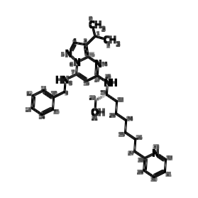 CC(C)c1cnn2c(NCc3ccccc3)cc(N[C@@H](CO)CCCCCCc3ccccn3)nc12